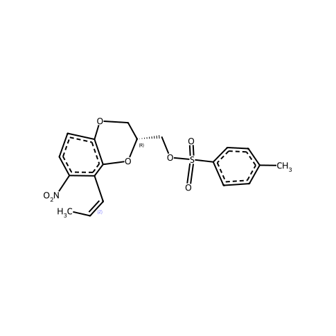 C/C=C\c1c([N+](=O)[O-])ccc2c1O[C@@H](COS(=O)(=O)c1ccc(C)cc1)CO2